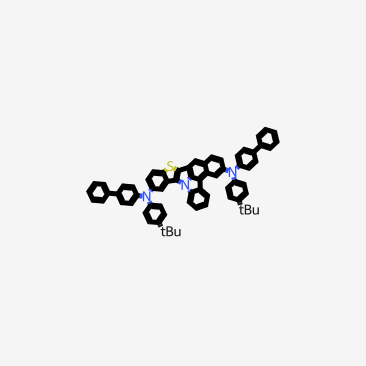 CC(C)(C)c1ccc(N(c2ccc(-c3ccccc3)cc2)c2ccc3cc4c5sc6ccc(N(c7ccc(-c8ccccc8)cc7)c7ccc(C(C)(C)C)cc7)cc6c5n5c6ccccc6c(c3c2)c45)cc1